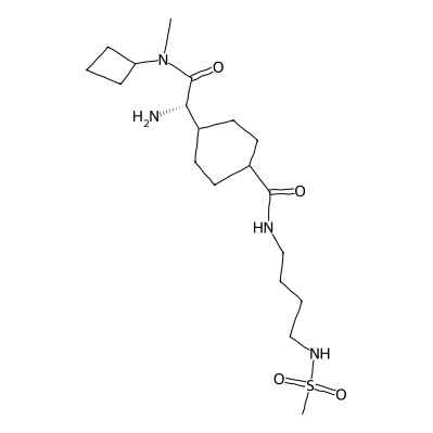 CN(C(=O)[C@@H](N)C1CCC(C(=O)NCCCCNS(C)(=O)=O)CC1)C1CCC1